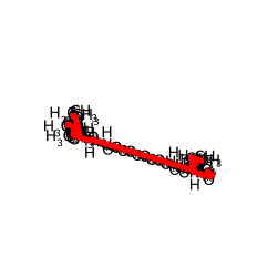 CC(C)[C@H](NC(=O)C(CCC(=O)NCCC(=O)NCCOCCOCCOCCOCCOCCOCCOCCOCCC(=O)NCCCCCC(=O)NCCCCC(NC(=O)NC(CCC(=O)OC(C)(C)C)C(=O)OC(C)(C)C)C(=O)OC(C)(C)C)NC(=O)CCCN1C(=O)C=CC1=O)C(=O)N[C@@H](C)C(=O)O